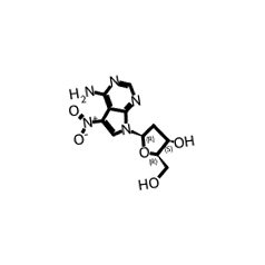 Nc1ncnc2c1c([N+](=O)[O-])cn2[C@H]1C[C@H](O)[C@@H](CO)O1